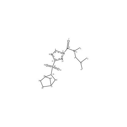 CC(C)CN(C)C(=O)n1cnc(S(=O)(=O)C2CC3CCC2C3)n1